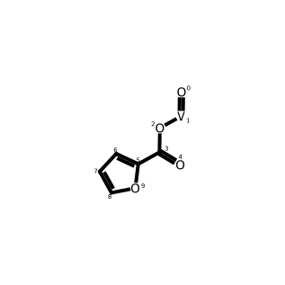 [O]=[V][O]C(=O)c1ccco1